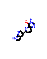 O=c1[nH]cnc2ccc(-c3cnc4[nH]ccc4c3)nc12